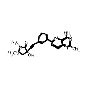 Cc1nc(N)c2nc(-c3cccc(C#C[C@@]4(O)C[C@@H](C)N(C)C4=O)c3)ccc2n1